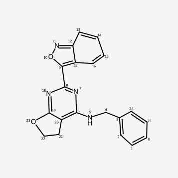 c1ccc(CNc2nc(-c3onc4ccccc34)nc3c2CCO3)cc1